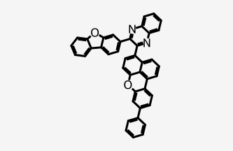 c1ccc(-c2ccc3c(c2)Oc2ccc(-c4nc5ccccc5nc4-c4ccc5c(c4)oc4ccccc45)c4cccc-3c24)cc1